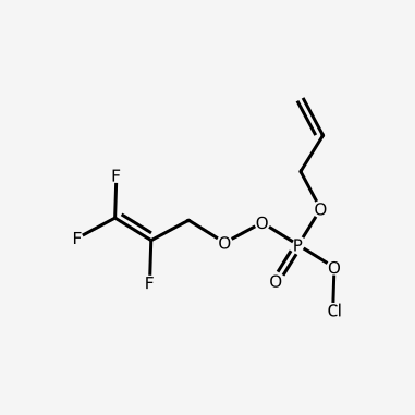 C=CCOP(=O)(OCl)OOCC(F)=C(F)F